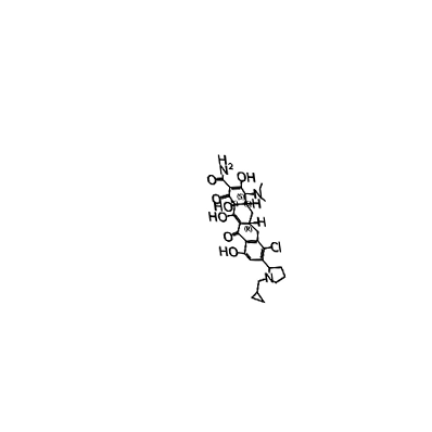 CN(C)[C@@H]1C(O)=C(C(N)=O)C(=O)[C@@]2(O)C(O)=C3C(=O)c4c(O)cc(C5CCCN5CC5CC5)c(Cl)c4C[C@H]3C[C@@H]12